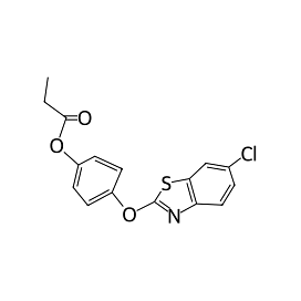 CCC(=O)Oc1ccc(Oc2nc3ccc(Cl)cc3s2)cc1